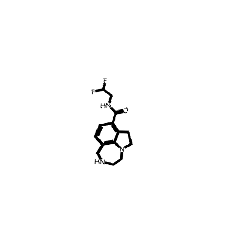 O=C(NCC(F)F)c1ccc2c3c1CCN3CCNC2